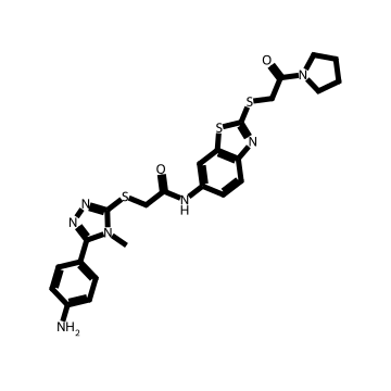 Cn1c(SCC(=O)Nc2ccc3nc(SCC(=O)N4CCCC4)sc3c2)nnc1-c1ccc(N)cc1